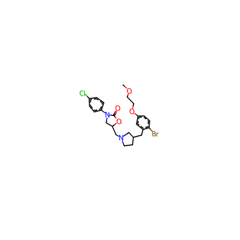 COCCOc1ccc(Br)c(CC2CCN(CC3CN(c4ccc(Cl)cc4)C(=O)O3)C2)c1